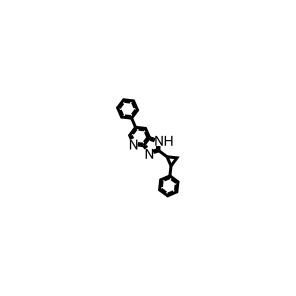 c1ccc(-c2cnc3nc(C4CC4c4ccccc4)[nH]c3c2)cc1